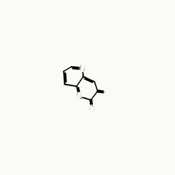 O=C1C=c2ncccc2=NC1=O